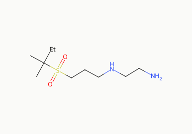 CCC(C)(C)S(=O)(=O)CCCNCCN